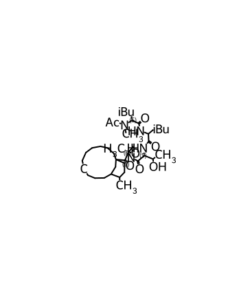 CCC(C)C(NC(=O)[C@H](C(C)CC)N(C)C(C)=O)C(=O)N[C@H](C(=O)N[C@H]1CC(C)C2CCCCCCCCCCC1(C(=O)[C@@]1(C)CO1)C2)C(C)O